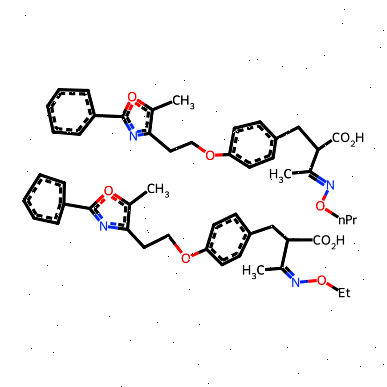 CCCO/N=C(\C)C(Cc1ccc(OCCc2nc(-c3ccccc3)oc2C)cc1)C(=O)O.CCO/N=C(/C)C(Cc1ccc(OCCc2nc(-c3ccccc3)oc2C)cc1)C(=O)O